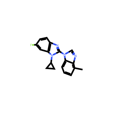 Cc1cccc2c1ncn2-c1nc2ccc(F)cc2n1C1CC1